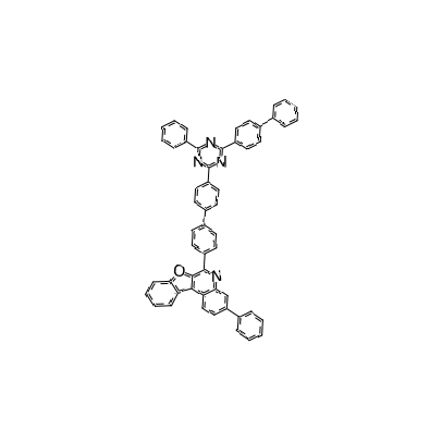 c1ccc(-c2ccc(-c3nc(-c4ccccc4)nc(-c4ccc(-c5ccc(-c6nc7cc(-c8ccccc8)ccc7c7c6oc6ccccc67)cc5)cc4)n3)cc2)cc1